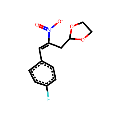 O=[N+]([O-])/C(=C/c1ccc(F)cc1)CC1OCCO1